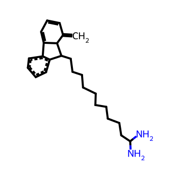 C=C1C=CC=C2c3ccccc3C(CCCCCCCCCCC(N)N)C12